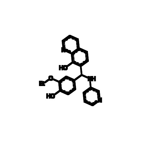 CCOc1cc(C(Nc2cccnc2)c2ccc3cccnc3c2O)ccc1O